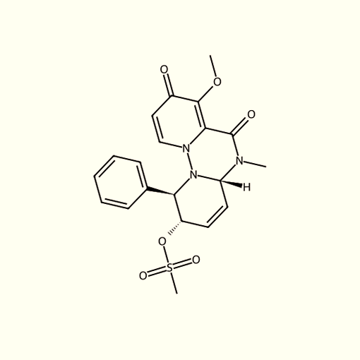 COc1c2n(ccc1=O)N1[C@H](c3ccccc3)[C@@H](OS(C)(=O)=O)C=C[C@H]1N(C)C2=O